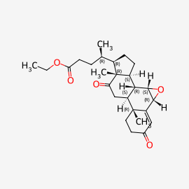 CCOC(=O)CC[C@@H](C)[C@H]1CC[C@H]2[C@@H]3[C@@H]4O[C@@H]4C4=CC(=O)CC[C@]4(C)[C@H]3CC(=O)[C@]12C